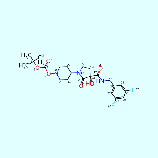 CC(C)(C)OC(=O)ON1CCC(N2CC[C@](O)(C(=O)NCc3cc(F)cc(F)c3)C2=O)CC1